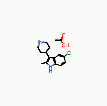 CC(=O)O.Cc1[nH]c2ccc(Cl)cc2c1C1CCNCC1